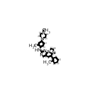 CC1=C(C2=Cc3cnc(Nc4ccc(N5CCN(C)CC5)cc4C)nc3N3CCN=C23)C=CCC1